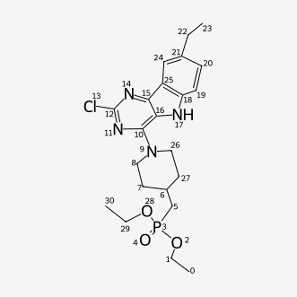 CCOP(=O)(CC1CCN(c2nc(Cl)nc3c2[nH]c2ccc(CC)cc23)CC1)OCC